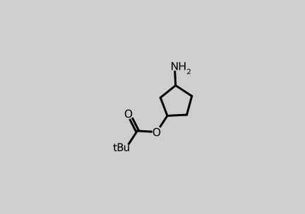 CC(C)(C)C(=O)OC1CCC(N)C1